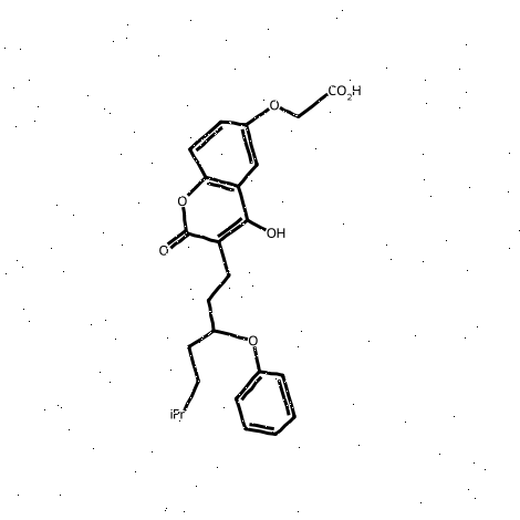 CC(C)CCC(CCc1c(O)c2cc(OCC(=O)O)ccc2oc1=O)Oc1ccccc1